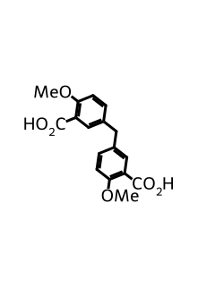 COc1ccc(Cc2ccc(OC)c(C(=O)O)c2)cc1C(=O)O